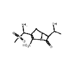 CC(O)C1C(=O)N2C(C(=O)O)=C(C(N)S(C)(=O)=O)CC12